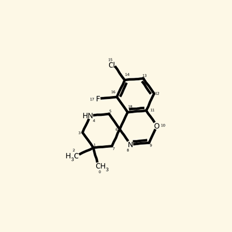 CC1(C)CNCC2(C1)N=COc1ccc(Cl)c(F)c12